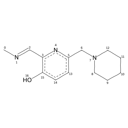 C/N=C/c1nc(CN2CCCCC2)ccc1O